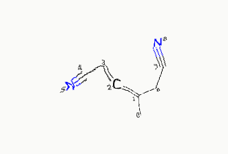 CC(=C=CC#N)CC#N